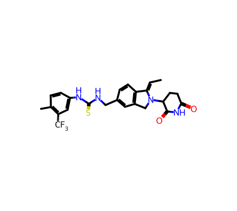 CC=C1c2ccc(CNC(=S)Nc3ccc(C)c(C(F)(F)F)c3)cc2CN1C1CCC(=O)NC1=O